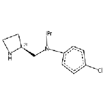 CC(C)N(C[C@@H]1CCN1)c1ccc(Cl)cc1